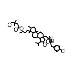 CC(CCC1(C)C(C)CCC2(C)C3CCC4(Cc5nnc(Cc6ccc(Cl)cc6)o5)CC(=O)C(C(C)C)=C4C3CCC12)OC(=O)CC(C)(C)C=O